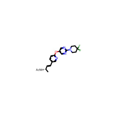 CC(=O)N[C@@H](C)/C=C/c1ccc(Oc2cnc(N3CCC(F)(F)CC3)nc2)nc1